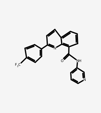 O=C(Nc1cccnc1)c1cccc2ccc(-c3ccc(C(F)(F)F)cc3)nc12